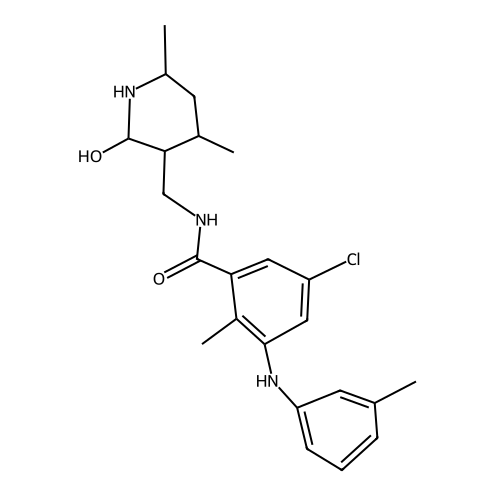 Cc1cccc(Nc2cc(Cl)cc(C(=O)NCC3C(C)CC(C)NC3O)c2C)c1